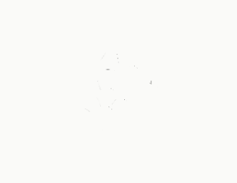 Cl.N#Cc1ccccc1Cn1c(N2CCCC(N)C2)nc2c(C(=O)O)csc2c1=O